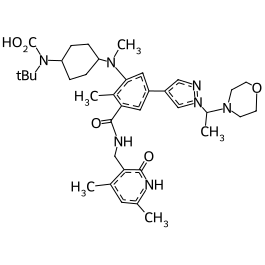 Cc1cc(C)c(CNC(=O)c2cc(-c3cnn(C(C)N4CCOCC4)c3)cc(N(C)C3CCC(N(C(=O)O)C(C)(C)C)CC3)c2C)c(=O)[nH]1